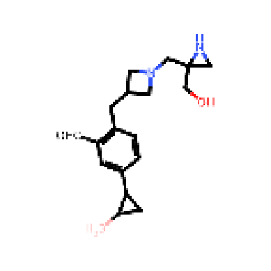 BC1CC1c1ccc(CC2CN(CC3(CO)CN3)C2)c(C=O)c1